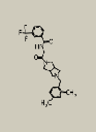 Cc1ccc(CN2CC3CN(C(=O)CNC(=O)c4cccc(C(F)(F)F)c4)CC3C2)c(C)c1